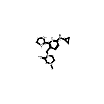 CN1CCN(Cc2ccc(NC3CC3)nc2C2OCCO2)C(=O)C1